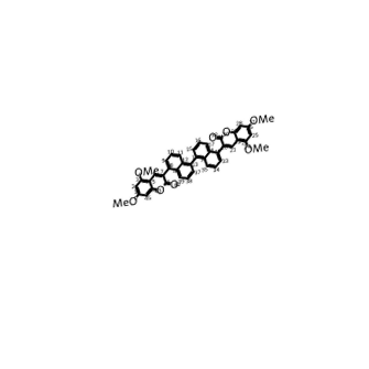 COc1cc(OC)c2cc(-c3cccc4c(-c5cccc6c(-c7cc8c(OC)cc(OC)cc8oc7=O)cccc56)cccc34)c(=O)oc2c1